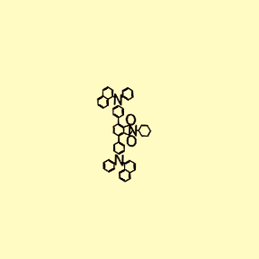 O=C1c2c(-c3ccc(N(c4ccccc4)c4cccc5ccccc45)cc3)ccc(-c3ccc(N(c4ccccc4)c4cccc5ccccc45)cc3)c2C(=O)N1C1CCCCC1